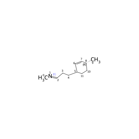 C/N=C/CCC1C=C[C@H](C)CC1